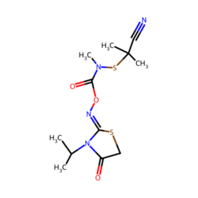 CC(C)N1C(=O)CSC1=NOC(=O)N(C)SC(C)(C)C#N